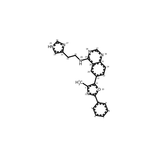 Cc1nc(-c2ccccc2)oc1-c1ccc2ncnc(NCCc3c[nH]cn3)c2c1